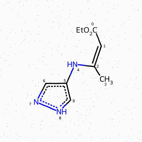 CCOC(=O)/C=C(/C)Nc1cn[nH]c1